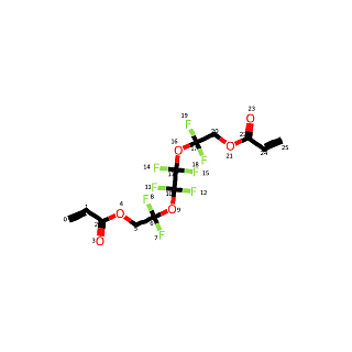 C=CC(=O)OCC(F)(F)OC(F)(F)C(F)(F)OC(F)(F)COC(=O)C=C